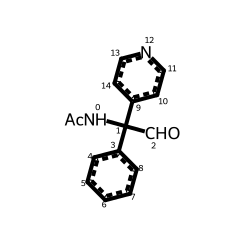 CC(=O)NC(C=O)(c1ccccc1)c1ccncc1